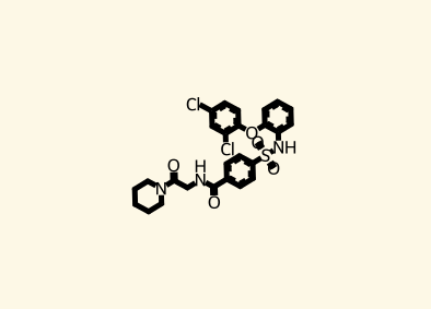 O=C(NCC(=O)N1CCCCC1)c1ccc(S(=O)(=O)Nc2ccccc2Oc2ccc(Cl)cc2Cl)cc1